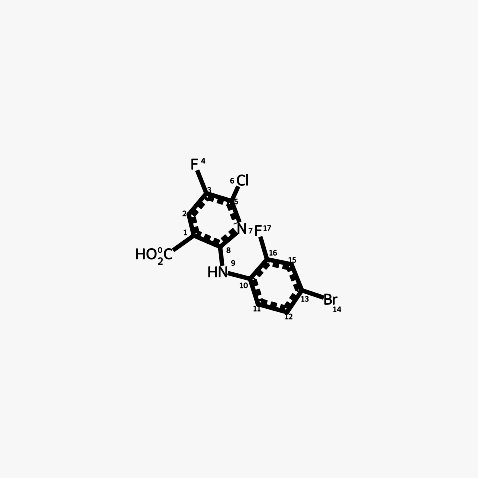 O=C(O)c1cc(F)c(Cl)nc1Nc1ccc(Br)cc1F